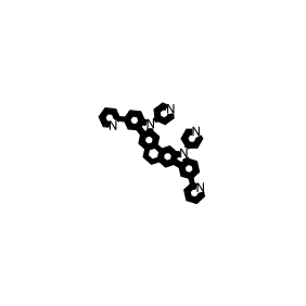 c1ccc(-c2ccc3c(c2)c2cc4c(cc2n3-c2ccncc2)-c2cc3c(cc2CC4)c2cc(-c4ccccn4)ccc2n3-c2ccncc2)nc1